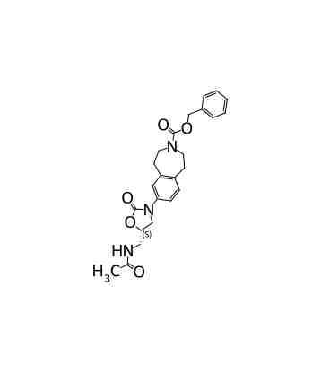 CC(=O)NC[C@H]1CN(c2ccc3c(c2)CCN(C(=O)OCc2ccccc2)CC3)C(=O)O1